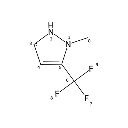 CN1N[C]C=C1C(F)(F)F